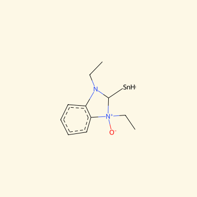 CCN1c2ccccc2[N+]([O-])(CC)[CH]1[SnH]